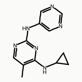 Cc1cnc(Nc2cncnc2)nc1NC1CC1